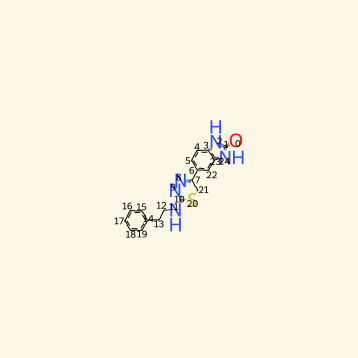 O=c1[nH]c2ccc(C3=NN=C(NCCc4ccccc4)SC3)cc2[nH]1